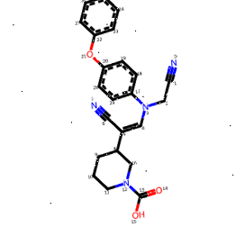 N#CCN(C=C(C#N)C1CCCN(C(=O)O)C1)c1ccc(Oc2ccccc2)cc1